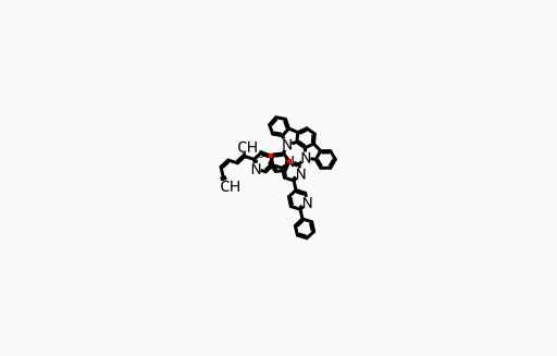 C#C/C=C\C=C(/C)c1ccc(-c2cc(-c3ccc(-c4ccccc4)nc3)nc(-n3c4ccccc4c4ccc5c6ccccc6n(-c6ccccc6)c5c43)n2)cn1